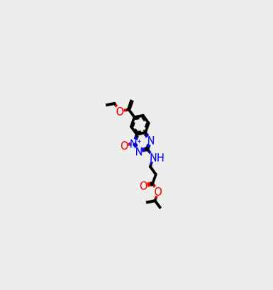 C=C(OCC)c1ccc2nc(NCCC(=O)OC(C)C)n[n+]([O-])c2c1